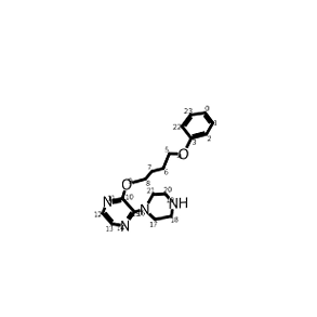 c1ccc(OCCCCOc2nccnc2N2CCNCC2)cc1